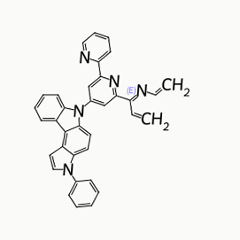 C=C/N=C(\C=C)c1cc(-n2c3ccccc3c3c4ccn(-c5ccccc5)c4ccc32)cc(-c2ccccn2)n1